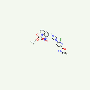 CCOC(=O)C(C)N1CCCc2cc(CN3CCN(c4ccc(C(=O)NC)nc4F)CC3)cc([N+](=O)[O-])c21